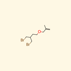 C=C(C)COCCC(CBr)CBr